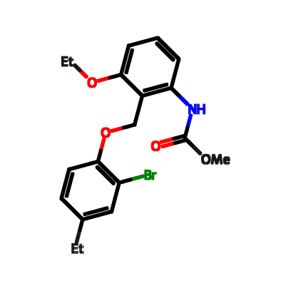 CCOc1cccc(NC(=O)OC)c1COc1ccc(CC)cc1Br